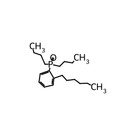 CCCCCCc1ccccc1P(=O)(CCCC)CCCC